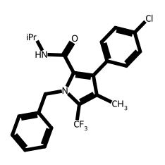 Cc1c(-c2ccc(Cl)cc2)c(C(=O)NC(C)C)n(Cc2ccccc2)c1C(F)(F)F